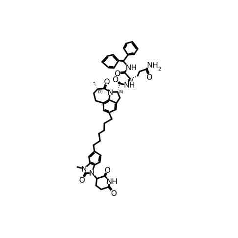 C[C@H]1CCc2cc(CCCCCCc3ccc4c(c3)n(C)c(=O)n4C3CCC(=O)NC3=O)cc3c2N(C1=O)[C@H](C(=O)N[C@@H](CCC(N)=O)C(=O)NC(c1ccccc1)c1ccccc1)C3